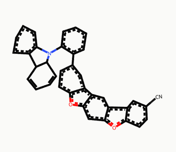 N#Cc1ccc2oc3cc4oc5ccc(-c6ccccc6N6c7ccccc7C7C=CC=CC76)cc5c4cc3c2c1